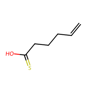 C=CCCCC(O)=S